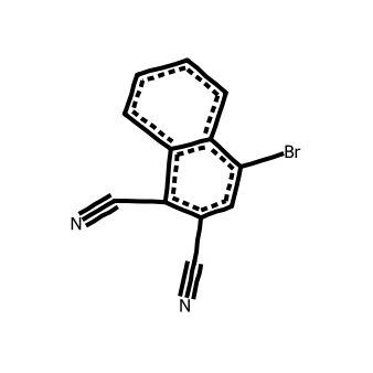 N#Cc1cc(Br)c2ccccc2c1C#N